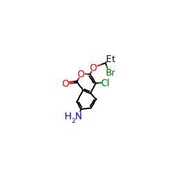 CCC(Br)Oc1oc(=O)c2cc(N)ccc2c1Cl